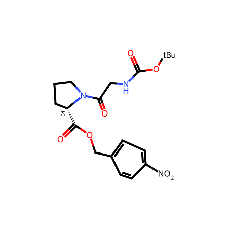 CC(C)(C)OC(=O)NCC(=O)N1CCC[C@H]1C(=O)OCc1ccc([N+](=O)[O-])cc1